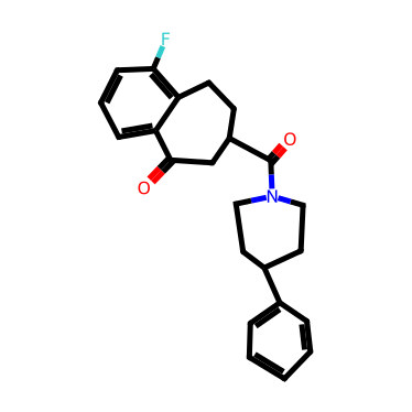 O=C1CC(C(=O)N2CCC(c3ccccc3)CC2)CCc2c(F)cccc21